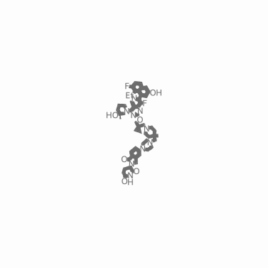 CCc1c(F)ccc2cc(O)cc(-c3ncc4c(N5CCC[C@@](C)(O)C5)nc(OCC5(CN6CCC(C)(CN7CCN(c8ccc9c(c8)CN([C@H]8CCC(=O)NC8=O)C9=O)CC7)CC6)CC5)nc4c3F)c12